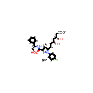 CC(C)c1c(C(=O)N[C@@H](CO)c2ccccc2)nn(-c2ccc(F)cc2)c1CC[C@@H](O)C[C@@H](O)CC(=O)[O-].[Na+]